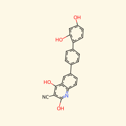 N#Cc1c(O)nc2ccc(-c3ccc(-c4ccc(O)cc4O)cc3)cc2c1O